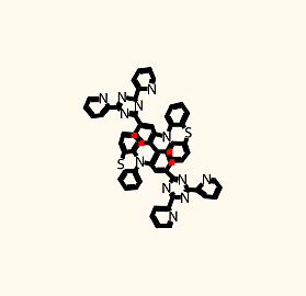 c1ccc(-c2nc(-c3ccc(-c4ccc(-c5nc(-c6ccccn6)nc(-c6ccccn6)n5)cc4N4c5ccccc5Sc5ccccc54)c(N4c5ccccc5Sc5ccccc54)c3)nc(-c3ccccn3)n2)nc1